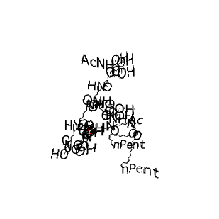 CCCCC/C=C\C/C=C\CCCCCCCCC1(CCCCCCCC/C=C\C/C=C\CCCCC)OCC(CCN(C)CCCCCC(=O)NCCCCCC(=O)N2C[C@H](OP(=O)(O)OC[C@@H]3C[C@@H](O)CN3C(=O)CCCCCNC(=O)CCCCCNC(=O)[C@H](CCCCNC(=O)CCCCOC3OC(CO)[C@H](O)[C@H](O)[C@@H]3NC(C)=O)NC(=O)CCCCOC3OC(CO)[C@H](O)[C@H](O)[C@@H]3NC(C)=O)C[C@H]2COP(=O)(O)S)O1